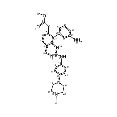 COC(=O)Cc1ccc2cnc(Nc3ccc(N4CCN(C)CC4)cc3)nc2c1-c1cccc(N)c1